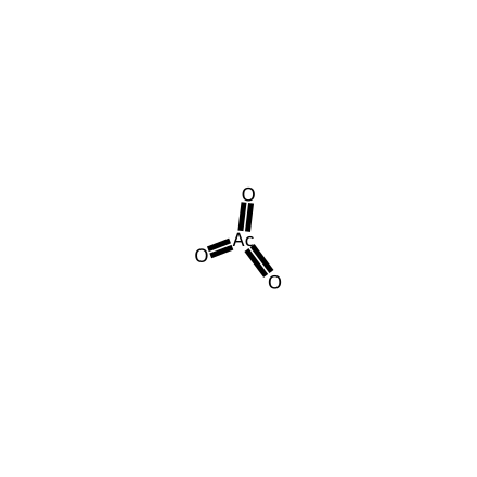 [O]=[Ac](=[O])=[O]